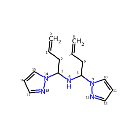 C=CCC(NC(CC=C)n1cccn1)n1cccn1